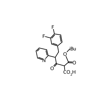 CCC(C)OC(=O)C(C(=O)O)C(=O)C(Cc1ccc(F)c(F)c1)c1ccccn1